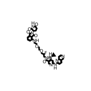 O=C1CCC(N2C(=O)c3cccc(NCCOCCOCC(F)CNC(=O)c4cnc(Nc5ccc6cnccc6n5)cc4NC4CC4)c3C2=O)C(=O)N1